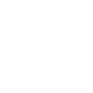 O=C(O)CCC(CCC=CP(=O)(O)CCc1ccc2ccccc2c1)C(=O)O